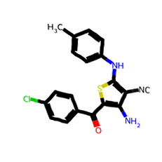 [C-]#[N+]c1c(Nc2ccc(C)cc2)sc(C(=O)c2ccc(Cl)cc2)c1N